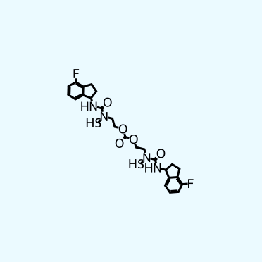 O=C(OCCN(S)C(=O)NC1CCc2c(F)cccc21)OCCN(S)C(=O)NC1CCc2c(F)cccc21